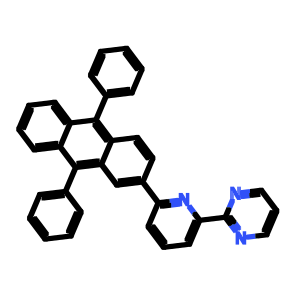 c1ccc(-c2c3ccccc3c(-c3ccccc3)c3cc(-c4cccc(-c5ncccn5)n4)ccc23)cc1